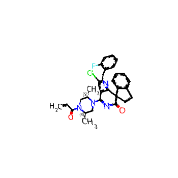 C=CC(=O)N1C[C@H](C)N(C2=NC(=O)C3(CCc4ccccc43)c3nc(-c4ccccc4F)c(Cl)cc32)C[C@H]1C